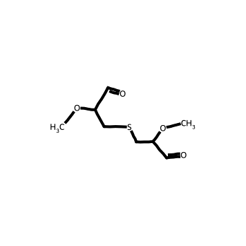 COC(C=O)CSCC(C=O)OC